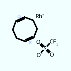 C1=C\CC/C=C\CC/1.O=S(=O)([O-])C(F)(F)F.[Rh+]